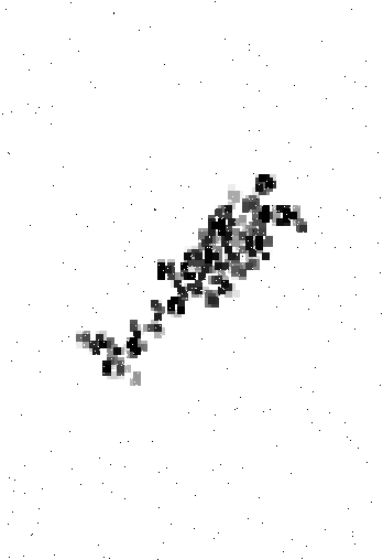 CC(C)SCCCOCC1CC[C@H]2[C@@H]3CCC4N(C)C(=O)CC[C@]4(C)[C@@H]3CC[C@]12C